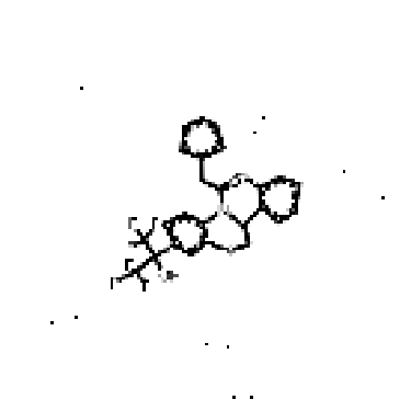 O=C(Cc1ccccc1)N1c2ccc(C(O)(C(F)(F)F)C(F)(F)F)cc2SCC1c1ccccc1Cl